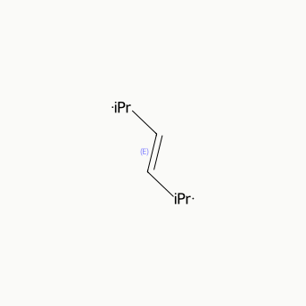 C[C](C)/C=C/[C](C)C